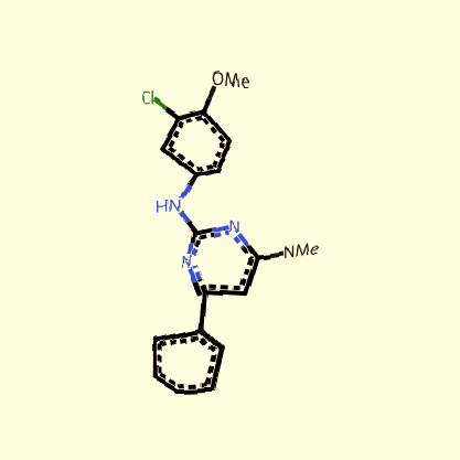 CNc1cc(-c2ccccc2)nc(Nc2ccc(OC)c(Cl)c2)n1